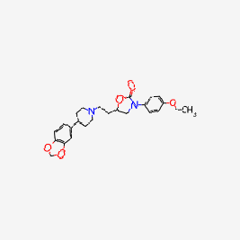 CCOc1ccc(N2CC(CCN3CCC(c4ccc5c(c4)OCO5)CC3)OC2=O)cc1